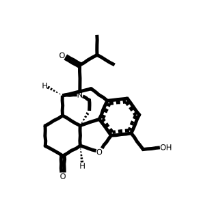 CC(C)C(=O)N1CC[C@]23c4c5ccc(CO)c4O[C@H]2C(=O)CCC3[C@H]1C5